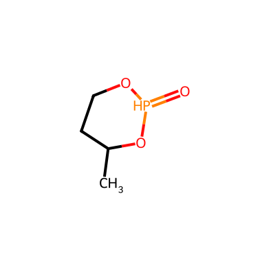 CC1CCO[PH](=O)O1